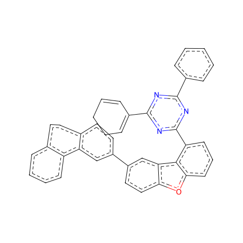 C1=CC(c2nc(-c3ccccc3)nc(-c3cccc4oc5ccc(-c6ccc7ccc8ccccc8c7c6)cc5c34)n2)=CCC1